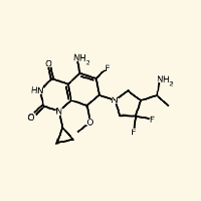 COC1c2c(c(=O)[nH]c(=O)n2C2CC2)C(N)=C(F)C1N1CC(C(C)N)C(F)(F)C1